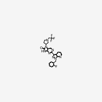 O=c1[nH]c2nc(-c3nn(Cc4ccccc4F)c4ncccc34)ncc2n1C1CCN(CC(F)(F)F)C1